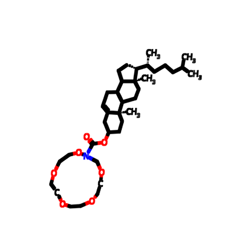 CC(C)CCC[C@@H](C)[C@H]1CCC2C3CC=C4CC(OC(=O)N5COCCOCCOCCOCCO5)CC[C@]4(C)C3CC[C@@]21C